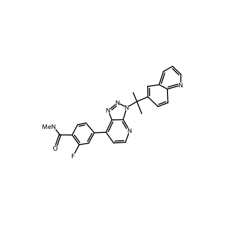 CNC(=O)c1ccc(-c2ccnc3c2nnn3C(C)(C)c2ccc3ncccc3c2)cc1F